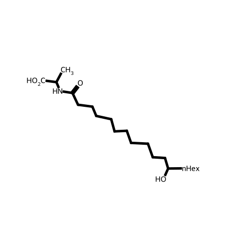 CCCCCCC(O)CCCCCCCCCCC(=O)NC(C)C(=O)O